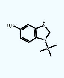 C[Si](C)(C)N1CNc2cc(N)ccc21